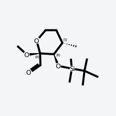 CO[C@@]1(C=O)OCC[C@H](C)[C@H]1O[Si](C)(C)C(C)(C)C